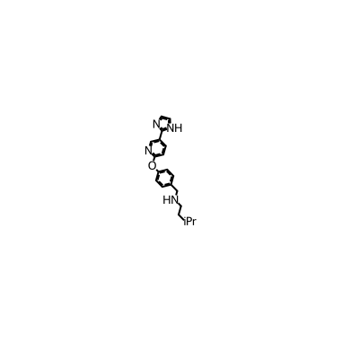 CC(C)CCNCc1ccc(Oc2ccc(-c3ncc[nH]3)cn2)cc1